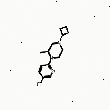 C[C@H]1CN(C2CCC2)CCN1c1ccc(Cl)cn1